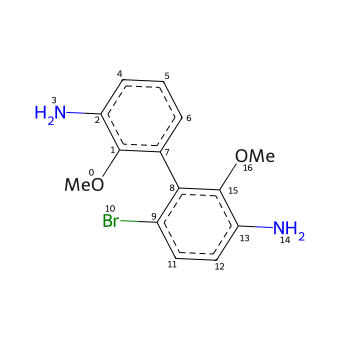 COc1c(N)cccc1-c1c(Br)ccc(N)c1OC